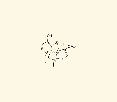 COC1=CC=C2[C@@H](C)N(C)CC[C@@]23c2c(C)ccc(O)c2O[C@@H]13